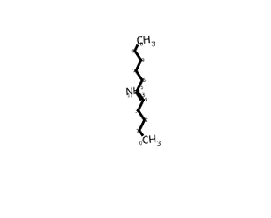 CCCCC=CCCCCC.N